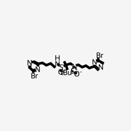 CC(C)(C)[S+]([O-])N(CCCCc1cncc(Br)n1)CC(C)(C)[S+]([O-])NCCCCc1cncc(Br)n1